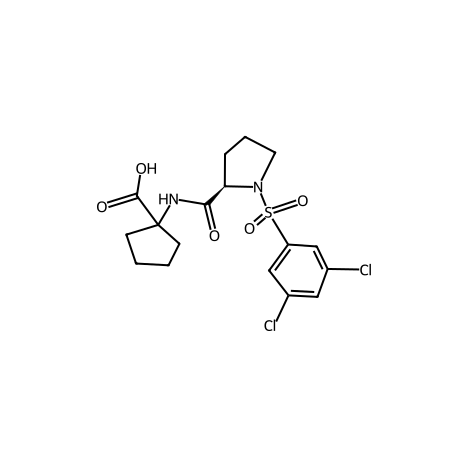 O=C(NC1(C(=O)O)CCCC1)[C@H]1CCCN1S(=O)(=O)c1cc(Cl)cc(Cl)c1